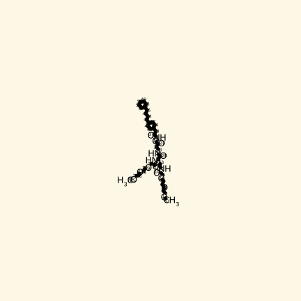 COCCOCCOCC(=O)NCC[C@H](NC(=O)COCCOCCOC)C(=O)NCCC(=O)ONC(=O)Cc1ccc(CCCCc2ccccc2)cc1